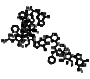 CC(C)OC(=O)[C@H](C)NP(=O)(Oc1ccccc1)OC(C)(C)[C@H]1O[C@@H](n2ccc3c(=O)[nH]c(NC(C)OC(=O)[C@H](C)N[P@@](=O)(Oc4ccccc4)OC(C)(C)[C@H]4O[C@@H](n5ccc6c(=O)[nH]c(NC(C)OC(=O)[C@H](C)N[P@](=O)(Oc7ccccc7)OC(C)(C)[C@H]7O[C@@H](n8ccc9c(=O)[nH]c(N)nc98)[C@@](F)(CF)C7O)nc65)[C@@](F)(CF)C4O)nc32)[C@@](F)(CF)C1O